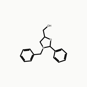 OCC1CN(Cc2ccccc2)C(c2ccccc2)O1